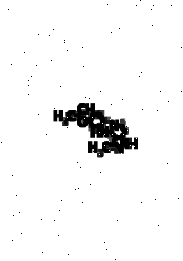 Cc1n[nH]c2ccnc(Nc3cccc(OC(C)C)c3)c12